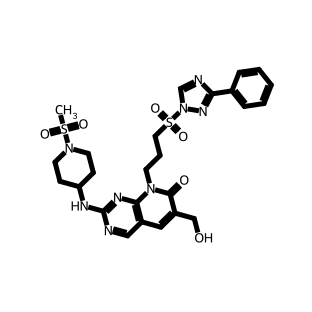 CS(=O)(=O)N1CCC(Nc2ncc3cc(CO)c(=O)n(CCCS(=O)(=O)n4cnc(-c5ccccc5)n4)c3n2)CC1